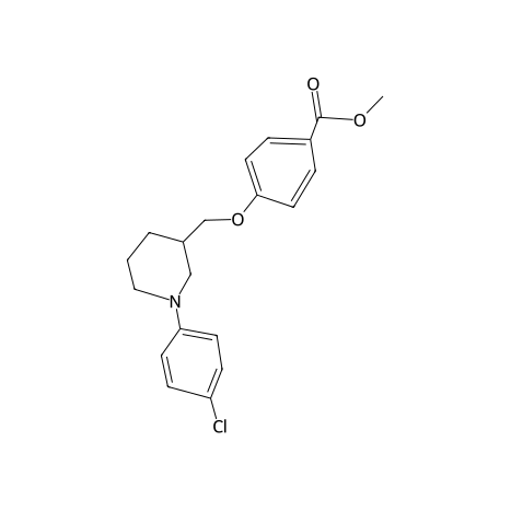 COC(=O)c1ccc(OCC2CCCN(c3ccc(Cl)cc3)C2)cc1